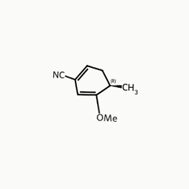 COC1=CC(C#N)=CC[C@H]1C